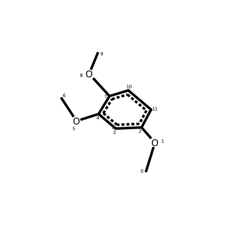 COc1[c]c(OC)c(OC)cc1